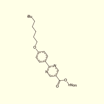 CCCCCCCCCOC(=O)c1cnc(-c2ccc(OCCCCCC(C)CC)cc2)nc1